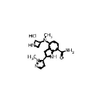 CN(c1ccc(C(N)=O)c2[nH]c(-c3ccnn3C)cc12)C1CNC1.Cl